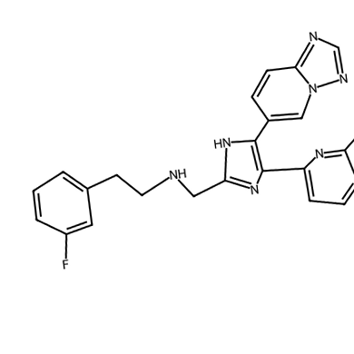 Cc1cccc(-c2nc(CNCCc3cccc(F)c3)[nH]c2-c2ccc3ncnn3c2)n1